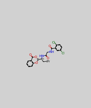 CC(C)C[C@H](NC(=O)CNC(=O)c1cc(Cl)ccc1Cl)B1OC(=O)c2ccccc2O1